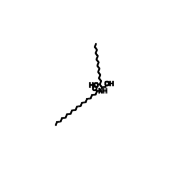 CCCCCCCCCCCCCCCCCC(=O)NC(CO)C(O)CCCCCCCCCCCCC